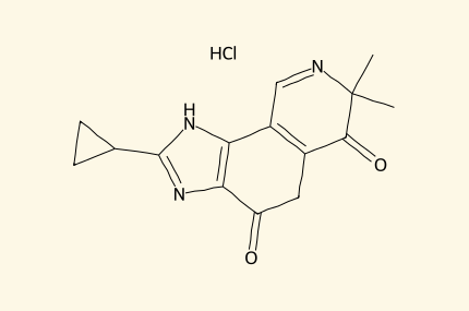 CC1(C)N=CC2=C(CC(=O)c3nc(C4CC4)[nH]c32)C1=O.Cl